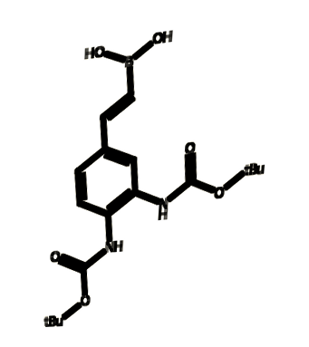 CC(C)(C)OC(=O)Nc1ccc(/C=C/B(O)O)cc1NC(=O)OC(C)(C)C